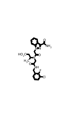 CC(CC(=O)O)N(CC(=O)NCc1cccc(Cl)c1F)C(=O)Cn1nc(C(N)=O)c2ccccc21